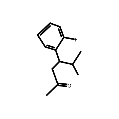 CC(=O)CC(c1ccccc1F)C(C)C